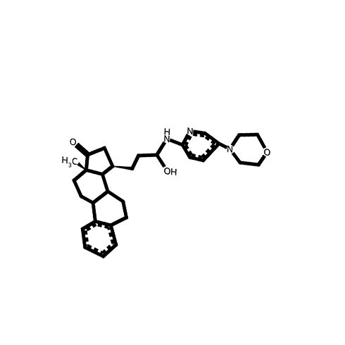 C[C@]12CCC3c4ccccc4CCC3C1[C@H](CCC(O)Nc1ccc(N3CCOCC3)cn1)CC2=O